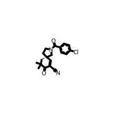 CC1(C)C[C@]2(C=C(C#N)C1=O)CCN(C(=O)c1ccc(Cl)cc1)C2